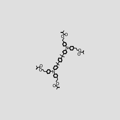 C=C(C)C(=O)OCCc1ccc(N(c2ccc(CCOC(=O)C(=C)C)cc2)c2ccc(C(C)(C)c3ccc(C(C)(C)c4ccc(N(c5ccc(CCOC(=O)C(=C)C)cc5)c5ccc(CCOC(=O)C(=C)C)cc5)cc4)cc3)cc2)cc1